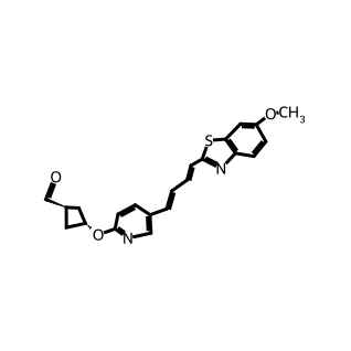 COc1ccc2nc(/C=C/C=C/c3ccc(O[C@H]4C[C@H](C=O)C4)nc3)sc2c1